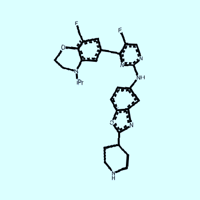 CC(C)N1CCOc2c(F)cc(-c3nc(Nc4ccc5oc(C6CCNCC6)nc5c4)ncc3F)cc21